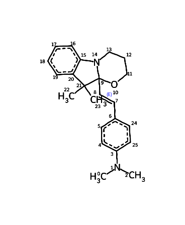 CN(C)c1ccc(/C=C/C23OCCCN2c2ccccc2C3(C)C)cc1